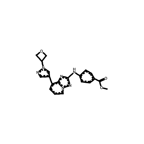 COC(=O)c1ccc(Nc2nc3c(-c4cnn(C5COC5)c4)cccn3n2)cc1